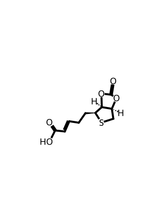 O=C(O)/C=C/CC[C@@H]1SC[C@@H]2OC(=O)O[C@@H]21